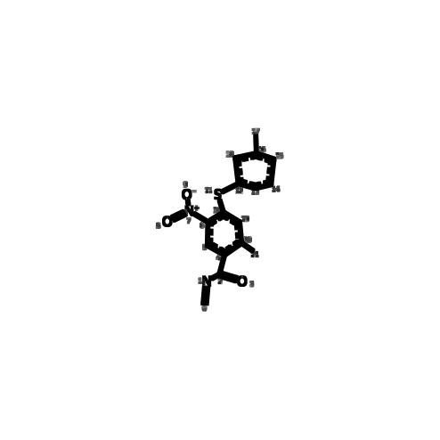 C=NC(=O)c1cc([N+](=O)[O-])c(Sc2cccc(C)c2)cc1C